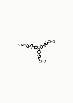 CCCCCCc1ccc(-c2ccc(-c3ccc(N(c4ccc(-c5cc6sc(C=O)cc6s5)cc4)c4ccc(-c5cc6sc(C=O)cc6s5)cc4)cc3)s2)s1